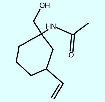 C=CC1CCCC(CO)(NC(C)=O)C1